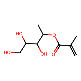 C=C(C)C(=O)OC(C)C(O)C(O)CO